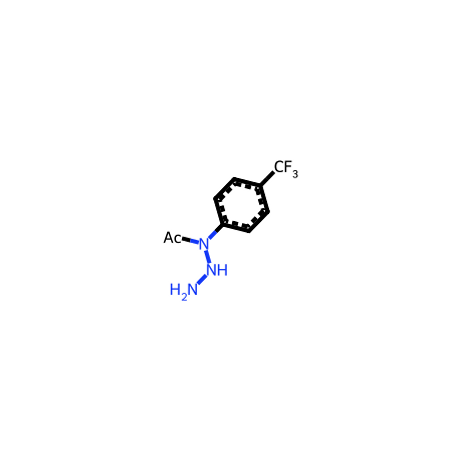 CC(=O)N(NN)c1ccc(C(F)(F)F)cc1